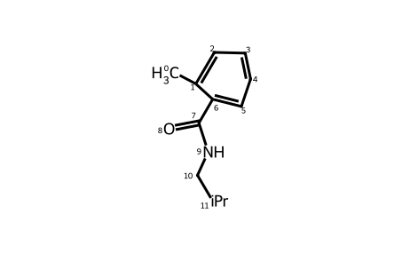 Cc1ccccc1C(=O)NCC(C)C